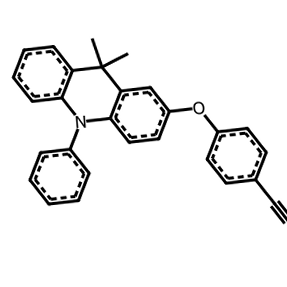 CC1(C)c2ccccc2N(c2ccccc2)c2ccc(Oc3ccc(C#N)cc3)cc21